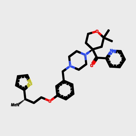 CN[C@@H](CCOc1cccc(CN2CCN([C@@]3(C(=O)c4ccccn4)CCOC(C)(C)C3)CC2)c1)c1cccs1